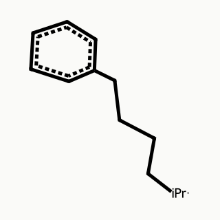 C[C](C)CCCCc1ccccc1